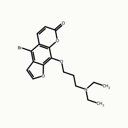 CCN(CC)CCCOc1c2occc2c(Br)c2ccc(=O)oc12